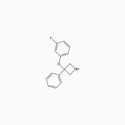 Fc1cccc(OC2(c3ccccc3)CNC2)c1